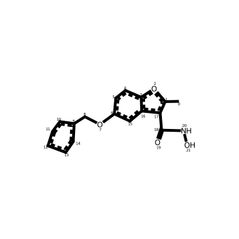 Cc1oc2ccc(OCc3ccccc3)cc2c1C(=O)NO